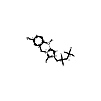 COc1ccc(F)cc1C[n+]1ccn(CC(C)(C)CC(C)(C)C)c1C